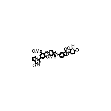 COc1cc(-c2cn(C)c(=O)c3cccn23)cc(OC)c1CN1CCC2(CC1)CN(c1ccc3c(c1)C(=O)N(C1CCC(=O)NC1=O)C3)C2